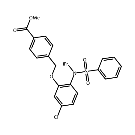 COC(=O)c1ccc(COc2cc(Cl)ccc2N(C(C)C)S(=O)(=O)c2ccccc2)cc1